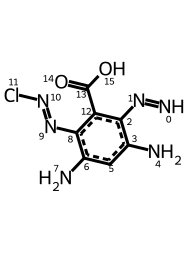 N=Nc1c(N)cc(N)c(N=NCl)c1C(=O)O